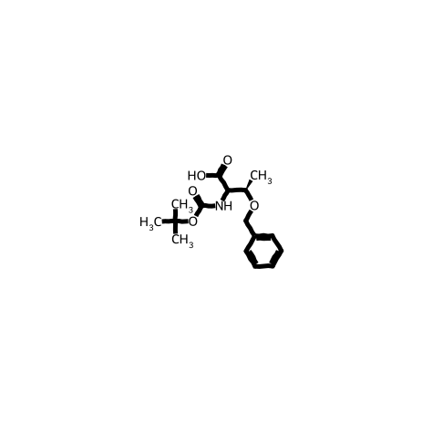 C[C@@H](OCc1ccccc1)C(NC(=O)OC(C)(C)C)C(=O)O